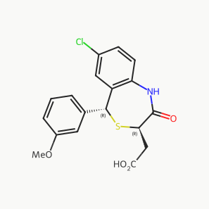 COc1cccc([C@H]2S[C@H](CC(=O)O)C(=O)Nc3ccc(Cl)cc32)c1